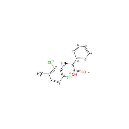 Cc1ccc(Cl)c(NC(C(=O)O)c2ccccc2)c1Cl